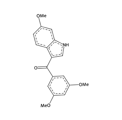 COc1cc(OC)cc(C(=O)c2c[nH]c3cc(OC)ccc23)c1